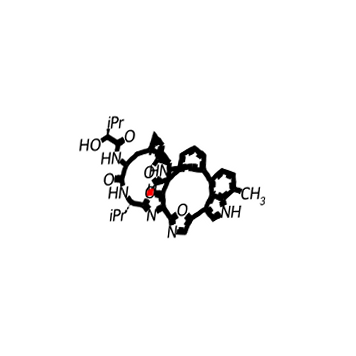 Cc1ccc2c3c(c[nH]c13)-c1cnc(o1)-c1nc3oc1C14c5cc(ccc5O[C@@H]1Nc1c-2cccc14)CC(NC(=O)[C@@H](O)C(C)C)C(=O)N[C@H]3C(C)C